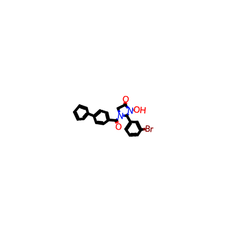 O=C1CN(C(=O)c2ccc(-c3ccccc3)cc2)C(c2cccc(Br)c2)N1O